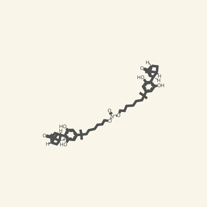 CC(C)(CCCCCCO[N+](=O)OCCCCCCC(C)(C)c1cc(O)c([C@H]2CC(=O)[C@H]3C[C@H]2C3(C)C)c(O)c1)c1cc(O)c([C@H]2CC(=O)[C@H]3C[C@H]2C3(C)C)c(O)c1